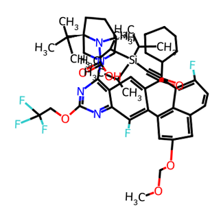 COCOc1cc(-c2c(C(=O)C3CCCCC3)cc3c(N4C[C@@H]5CC[C@@](C(C)(C)C)(C4)N5C(=O)O)nc(OCC(F)(F)F)nc3c2F)c2c(C#C[Si](C(C)C)(C(C)C)C(C)C)c(F)ccc2c1